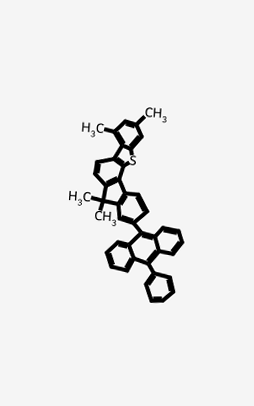 Cc1cc(C)c2c(c1)sc1c3c(ccc12)C(C)(C)c1cc(-c2c4ccccc4c(-c4ccccc4)c4ccccc24)ccc1-3